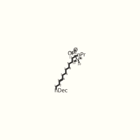 CCCCCCCCCCCCC=CCCCCCCCC(CCC)(P(=O)=O)[N+](C)(C)C